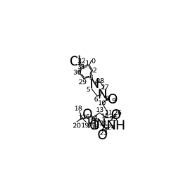 Cc1cc(N2CCN(C(=O)CCC3(CC(=O)OC(C)(C)C)NC(=O)NC3=O)CC2)ccc1Cl